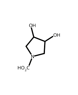 O=C(O)N1CC(O)C(O)C1